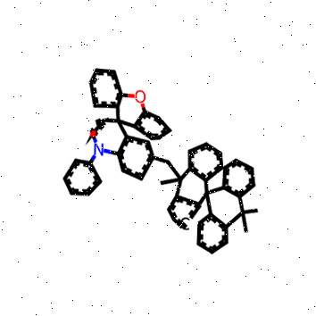 CC1(C)c2ccccc2C2(c3ccccc31)c1ccccc1C(C)(Cc1ccc3c(c1)C1(c4ccccc4Oc4ccccc41)c1ccccc1N3c1ccccc1)c1ccccc12